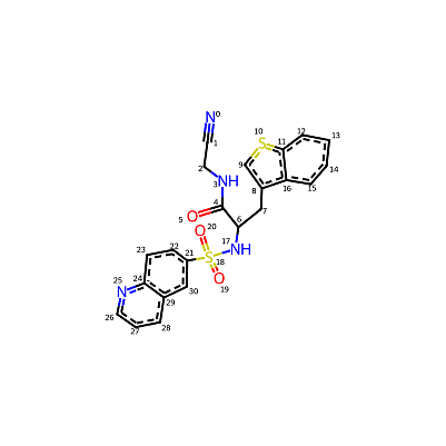 N#CCNC(=O)C(Cc1csc2ccccc12)NS(=O)(=O)c1ccc2ncccc2c1